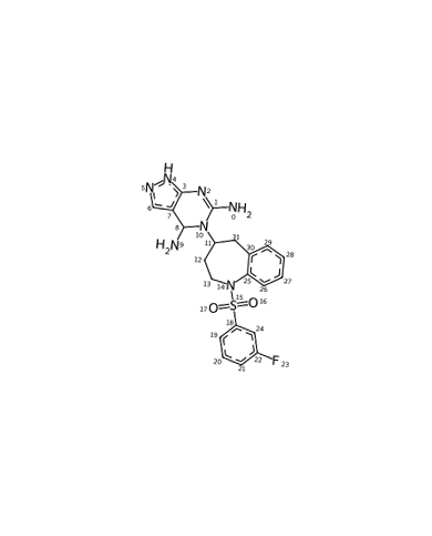 NC1=Nc2[nH]ncc2C(N)N1C1CCN(S(=O)(=O)c2cccc(F)c2)c2ccccc2C1